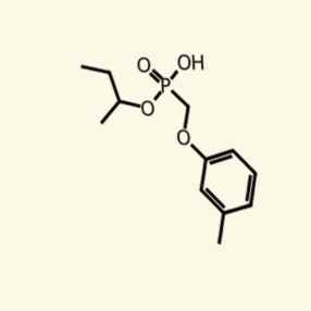 CCC(C)OP(=O)(O)COc1cccc(C)c1